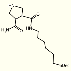 CCCCCCCCCCCCCCCCNC(=O)C1CNCC1C(N)=O